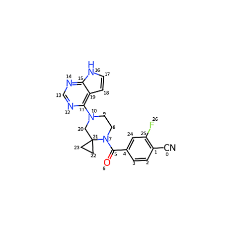 N#Cc1ccc(C(=O)N2CCN(c3ncnc4[nH]ccc34)CC23CC3)cc1F